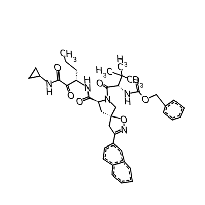 CCC[C@H](NC(=O)[C@@H]1C[C@]2(CC(c3ccc4ccccc4c3)=NO2)CN1C(=O)[C@@H](NC(=O)OCc1ccccc1)C(C)(C)C)C(=O)C(=O)NC1CC1